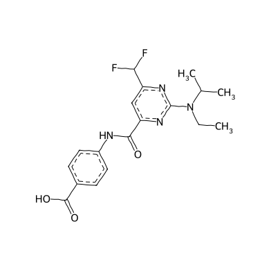 CCN(c1nc(C(=O)Nc2ccc(C(=O)O)cc2)cc(C(F)F)n1)C(C)C